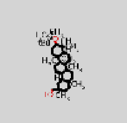 CC1(C)C(O[Si](C)(C)C(C)(C)C)CC[C@]2(C)C3CC=C4[C@@H]5C[C@@](C)(CO)CC[C@]5(C)CC[C@@]4(C)[C@]3(C)CC[C@@H]12